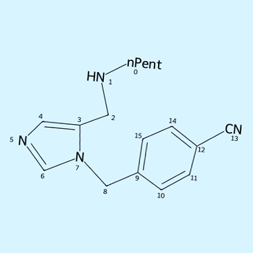 CCCCCNCc1cncn1Cc1ccc(C#N)cc1